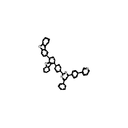 c1ccc(-c2cc(-c3ccc(-c4cccnc4)cc3)nc(-c3ccc(-c4ccc(-c5ccc6oc7ccccc7c6c5)c5oc6ccccc6c45)cc3)n2)cc1